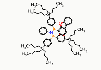 CCCC[Si](CCCC)(CCCC)c1ccc(P(c2ccc([Si](CCCC)(CCCC)CCCC)cc2)N(c2ccccc2)P(c2ccc([Si](CCCC)(CCCC)CCCC)cc2)c2cccc3c2oc2ccccc23)cc1